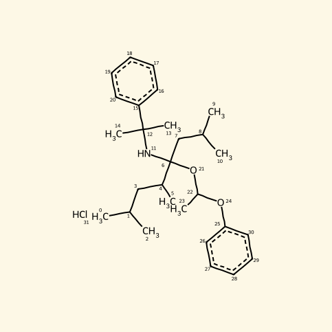 CC(C)CC(C)C(CC(C)C)(NC(C)(C)c1ccccc1)OC(C)Oc1ccccc1.Cl